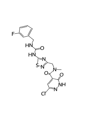 CN(Cc1nsc(NC(=O)NCc2cccc(F)c2)n1)C(=O)c1cc(Cl)n[nH]c1=O